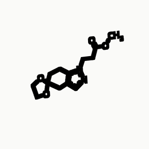 COC(=O)CCn1ncc2c1CCC1(C2)OCCO1